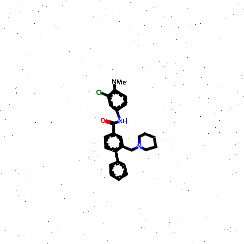 CNc1ccc(NC(=O)c2ccc(-c3ccccc3)c(CN3CCCCC3)c2)cc1Cl